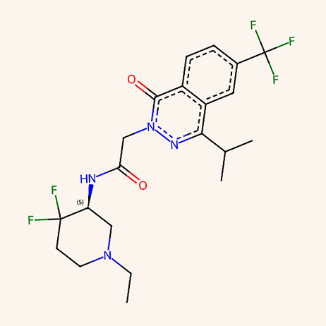 CCN1CCC(F)(F)[C@@H](NC(=O)Cn2nc(C(C)C)c3cc(C(F)(F)F)ccc3c2=O)C1